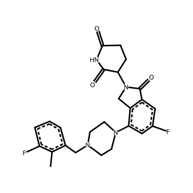 Cc1c(F)cccc1CN1CCN(c2cc(F)cc3c2CN(C2CCC(=O)NC2=O)C3=O)CC1